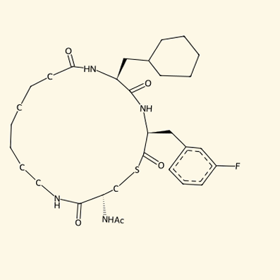 CC(=O)N[C@H]1CSC(=O)[C@H](Cc2cccc(F)c2)NC(=O)[C@H](CC2CCCCC2)NC(=O)CCCCCCCNC1=O